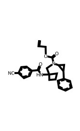 C=CCOC(=O)N(CC1(NC(=O)c2ccc(C#N)cc2)CCC1)C1CC1c1ccccc1